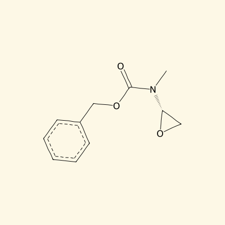 CN(C(=O)OCc1ccccc1)[C@@H]1CO1